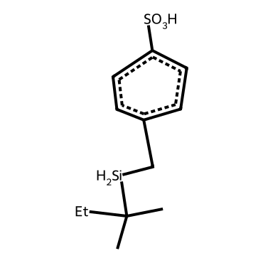 CCC(C)(C)[SiH2]Cc1ccc(S(=O)(=O)O)cc1